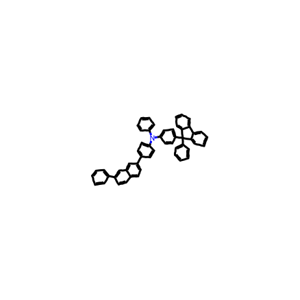 c1ccc(-c2ccc3ccc(-c4ccc(N(c5ccccc5)c5ccc(C6(c7ccccc7)c7ccccc7-c7ccccc76)cc5)cc4)cc3c2)cc1